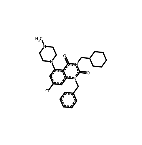 CN1CCN(c2cc(Cl)cc3c2c(=O)n(CC2CCCCC2)c(=O)n3Cc2ccccc2)CC1